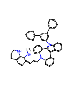 CNC1C2=C(C=CCN2)C=C/C1=C/C=C/N1c2ccccc2-c2c(n(-c3cc(-c4ccccc4)cc(-c4ccccc4)c3)c3ccccc23)-c2ccccc21